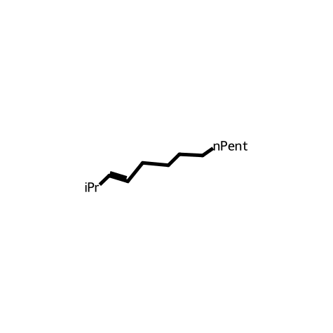 CCCCCCCCC/C=C/C(C)C